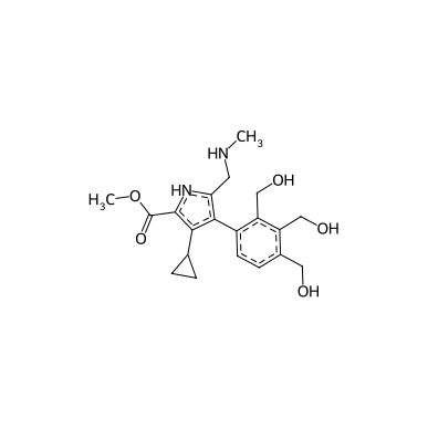 CNCc1[nH]c(C(=O)OC)c(C2CC2)c1-c1ccc(CO)c(CO)c1CO